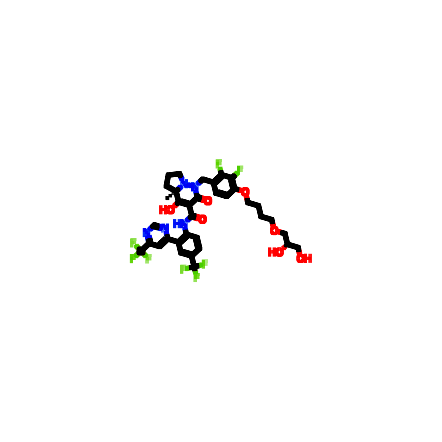 C[C@]12CCCN1N(Cc1ccc(OCCCCOC[C@H](O)CO)c(F)c1F)C(=O)C(C(=O)Nc1ccc(C(F)(F)F)cc1-c1cc(C(F)(F)F)ncn1)=C2O